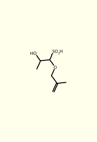 C=C(C)COC(C(C)O)S(=O)(=O)O